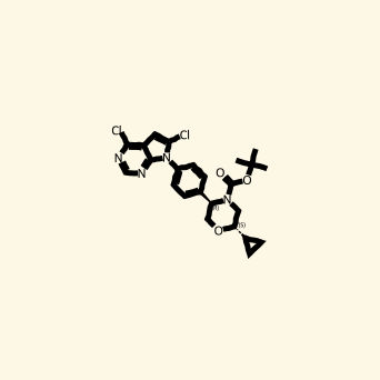 CC(C)(C)OC(=O)N1C[C@H](C2CC2)OC[C@H]1c1ccc(-n2c(Cl)cc3c(Cl)ncnc32)cc1